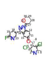 Cc1ncc(Cl)c([C@@H](C)Oc2ccc3c(c2)c(-c2ccc(F)nc2)nn3C2CCCCO2)c1Cl